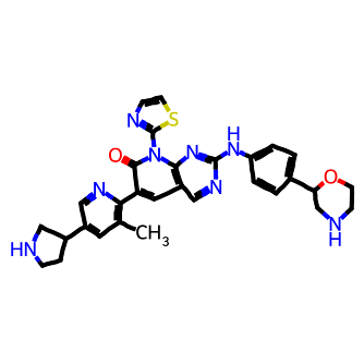 Cc1cc(C2CCNC2)cnc1-c1cc2cnc(Nc3ccc(C4CNCCO4)cc3)nc2n(-c2nccs2)c1=O